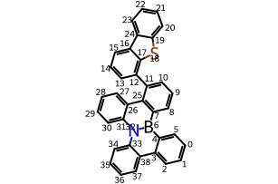 c1ccc2c(c1)B1c3cccc(-c4cccc5c4sc4ccccc45)c3-c3ccccc3N1c1ccccc1-2